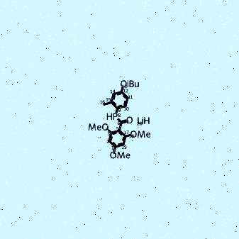 COc1cc(OC)c(C(=O)Pc2ccc(OCC(C)C)cc2C)c(OC)c1.[LiH]